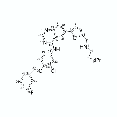 CC(C)CCNCc1ccc(-c2ccc3ncnc(Nc4ccc(OCc5cccc(F)c5)c(Cl)c4)c3c2)o1